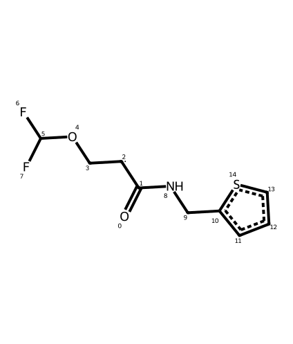 O=C([CH]COC(F)F)NCc1cccs1